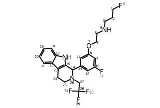 FCCCNCCOc1cc(F)cc(C2c3[nH]c4ccccc4c3CCN2CC(F)(F)F)c1